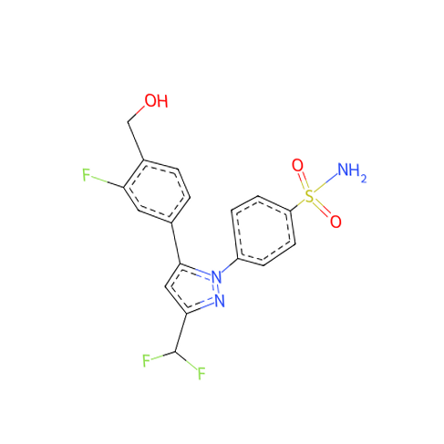 NS(=O)(=O)c1ccc(-n2nc(C(F)F)cc2-c2ccc(CO)c(F)c2)cc1